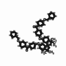 CC1(C)CC2(CC(C)(C)c3ccc(Oc4ccc(C(=O)c5ccc(OCc6ccccc6)cc5)cc4)cc32)c2cc(Oc3ccc(C(=O)c4ccc(OCc5ccccc5)cc4)cc3)ccc21